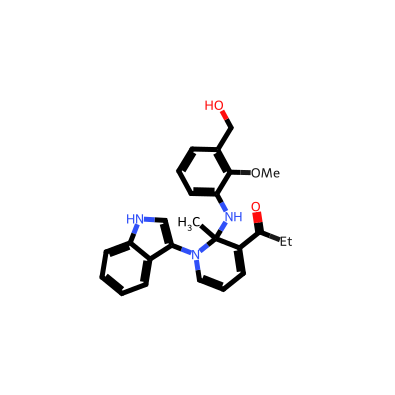 CCC(=O)C1=CC=CN(c2c[nH]c3ccccc23)C1(C)Nc1cccc(CO)c1OC